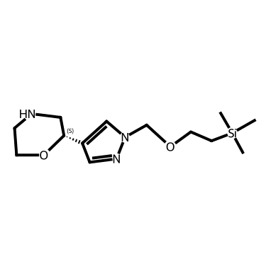 C[Si](C)(C)CCOCn1cc([C@H]2CNCCO2)cn1